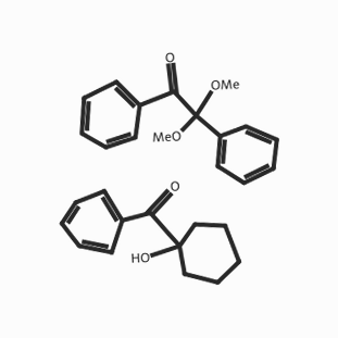 COC(OC)(C(=O)c1ccccc1)c1ccccc1.O=C(c1ccccc1)C1(O)CCCCC1